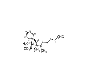 CC(CCCCC=O)C(N)(Oc1ccccc1)C(C)(C)C(=O)O